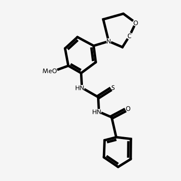 COc1ccc(N2CCOCC2)cc1NC(=S)NC(=O)c1ccccc1